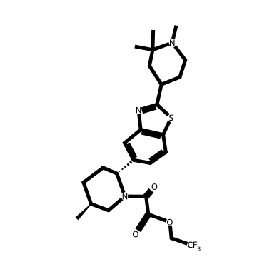 C[C@H]1CC[C@H](c2ccc3sc(C4CCN(C)C(C)(C)C4)nc3c2)N(C(=O)C(=O)OCC(F)(F)F)C1